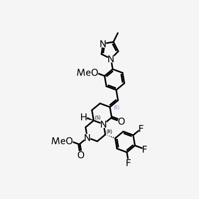 COC(=O)N1C[C@@H]2CC/C(=C\c3ccc(-n4cnc(C)c4)c(OC)c3)C(=O)N2[C@H](c2cc(F)c(F)c(F)c2)C1